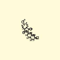 COC1CSC2=C(SC1)C(=O)N(c1ccc3ccc(Cl)nc3n1)C2=O